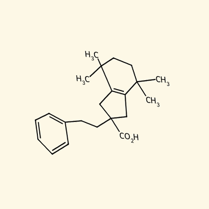 CC1(C)CCC(C)(C)C2=C1CC(CCc1ccccc1)(C(=O)O)C2